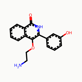 NCCOc1c(-c2cccc(O)c2)[nH]c(=O)c2ccccc12